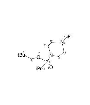 CC(C)N1CCN(P(=O)(OCC(C)(C)C)C(C)C)CC1